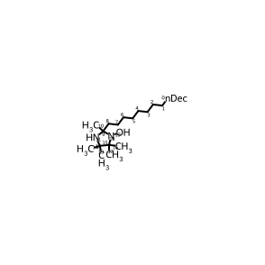 CCCCCCCCCCCCCCCCCCC1(C)NC(C)(C)C(C)(C)N1O